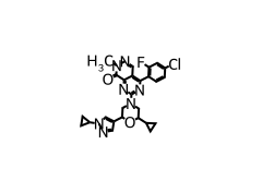 Cn1ncc2c(-c3ccc(Cl)cc3F)nc(N3CC(c4cnn(C5CC5)c4)OC(C4CC4)C3)nc2c1=O